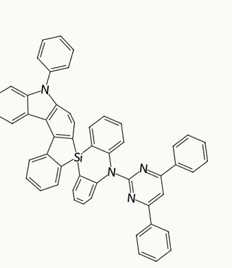 c1ccc(-c2cc(-c3ccccc3)nc(N3c4ccccc4[Si]4(c5ccccc5-c5c4ccc4c5c5ccccc5n4-c4ccccc4)c4ccccc43)n2)cc1